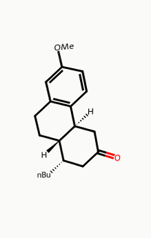 CCCC[C@H]1CC(=O)C[C@@H]2c3ccc(OC)cc3CC[C@@H]12